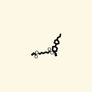 C#CC1(OC(=O)CCCCCOC(=O)C=C)CCC(C2CCC(CCC)CC2)CC1